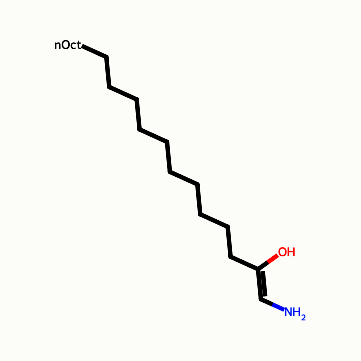 CCCCCCCCCCCCCCCCCCC(O)=CN